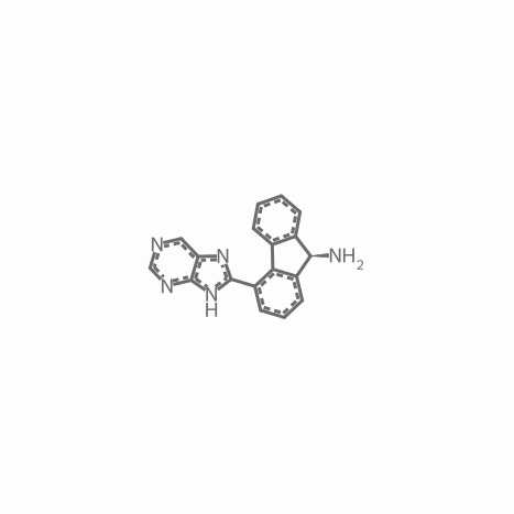 N[C@@H]1c2ccccc2-c2c(-c3nc4cncnc4[nH]3)cccc21